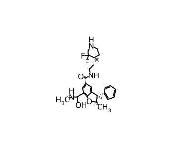 CNC(O)c1cc(C(=O)NCC[C@H]2CCNCC2(F)F)cc2c1O[C@H](C)[C@H]2c1ccccc1